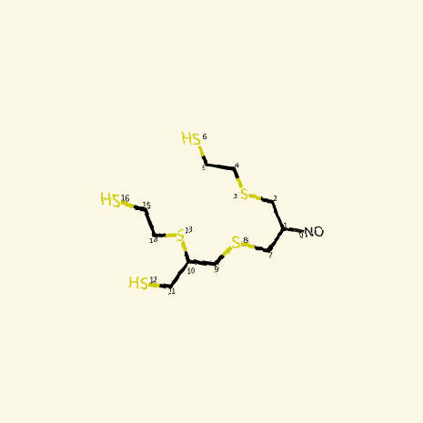 O=NC(CSCCS)CSCC(CS)SCCS